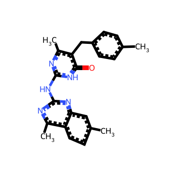 Cc1ccc(Cc2c(C)nc(Nc3nc(C)c4ccc(C)cc4n3)[nH]c2=O)cc1